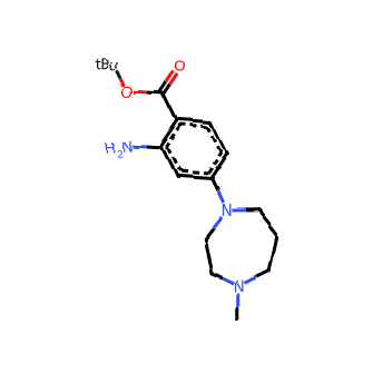 CN1CCCN(c2ccc(C(=O)OC(C)(C)C)c(N)c2)CC1